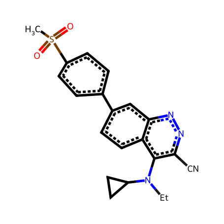 CCN(c1c(C#N)nnc2cc(-c3ccc(S(C)(=O)=O)cc3)ccc12)C1CC1